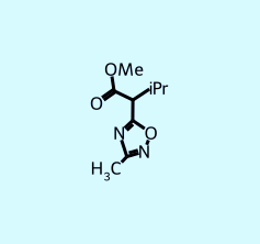 COC(=O)C(c1nc(C)no1)C(C)C